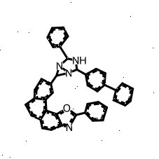 c1ccc(-c2ccc(C3NC(c4ccccc4)N4C(c5ccc6ccc7ccc8nc(-c9ccccc9)oc8c7c6c5)N34)cc2)cc1